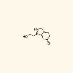 O=C1C=C2C(=CC1)CNN2CCO